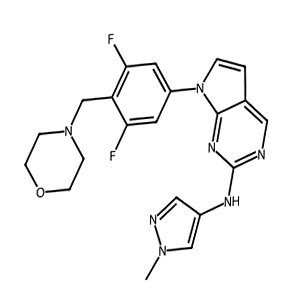 Cn1cc(Nc2ncc3ccn(-c4cc(F)c(CN5CCOCC5)c(F)c4)c3n2)cn1